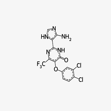 Nc1nc[nH]c1-c1nc(C(F)(F)F)c(Oc2ccc(Cl)c(Cl)c2)c(=O)[nH]1